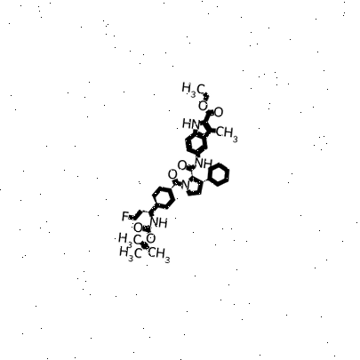 CCOC(=O)c1[nH]c2ccc(NC(=O)[C@@H]3[C@H](C4CCCCC4)CCN3C(=O)[C@H]3CC[C@H]([C@@H](CCF)NC(=O)OC(C)(C)C)CC3)cc2c1C